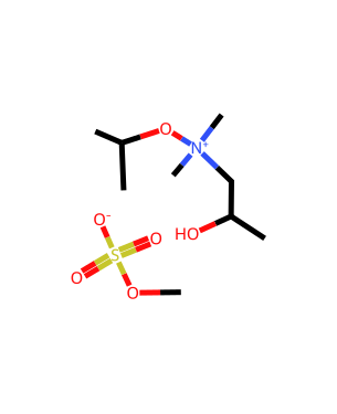 CC(O)C[N+](C)(C)OC(C)C.COS(=O)(=O)[O-]